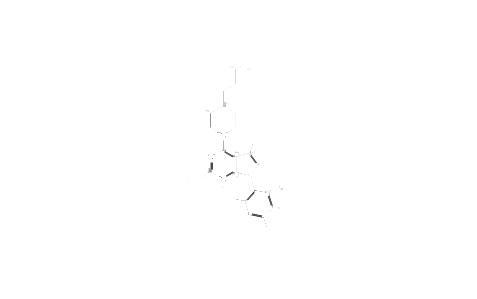 Cc1cc(C)c(-n2cc(C)c3c(N4CCC(CCCO)CC4)nc(C)nc32)c(C)c1